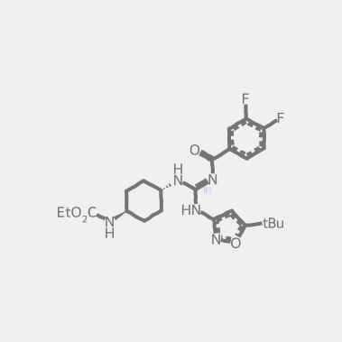 CCOC(=O)N[C@H]1CC[C@H](N/C(=N\C(=O)c2ccc(F)c(F)c2)Nc2cc(C(C)(C)C)on2)CC1